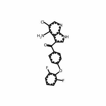 Nc1c(Cl)cnc2[nH]cc(C(=O)c3ccc(Oc4c(F)cccc4F)cc3)c12